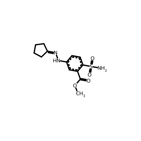 COC(=O)c1cc(NN=C2CCCC2)ccc1S(N)(=O)=O